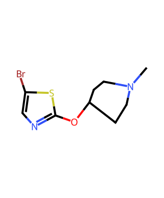 CN1CCC(Oc2ncc(Br)s2)CC1